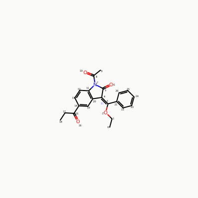 CCO/C(=C1/C(=O)N(C(C)=O)c2ccc(C(=O)CC)cc21)c1ccccc1